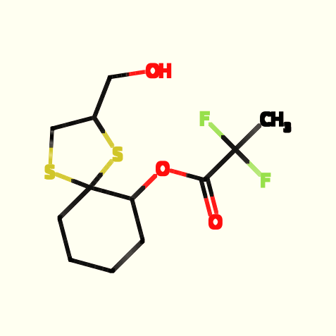 CC(F)(F)C(=O)OC1CCCCC12SCC(CO)S2